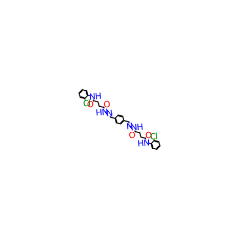 O=C(CCC(=O)Nc1ccccc1Cl)N/N=C/c1ccc(/C=N/NC(=O)CCC(=O)Nc2ccccc2Cl)cc1